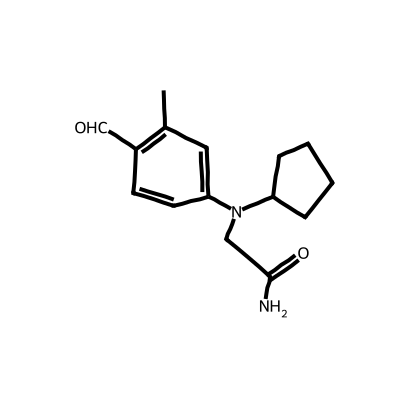 Cc1cc(N(CC(N)=O)C2CCCC2)ccc1C=O